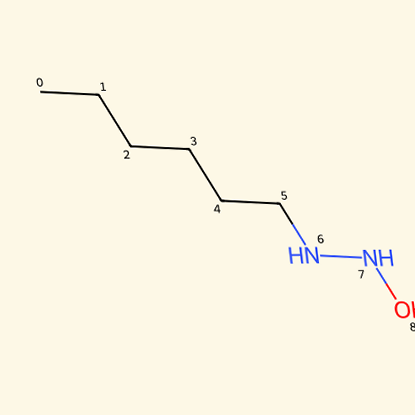 CCCCCCNNO